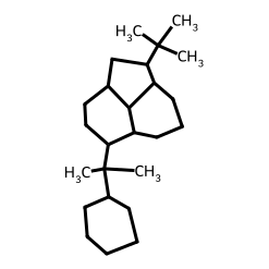 CC(C)(C)C1CC2CCC(C(C)(C)C3CCCCC3)C3CCCC1C23